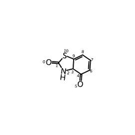 O=C1NC2C(=O)C=CC=C2S1